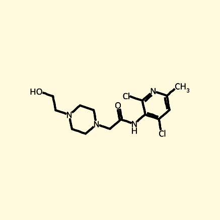 Cc1cc(Cl)c(NC(=O)CN2CCN(CCO)CC2)c(Cl)n1